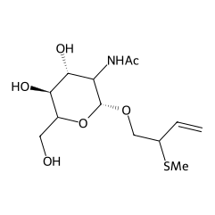 C=CC(CO[C@@H]1OC(CO)[C@@H](O)[C@H](O)C1NC(C)=O)SC